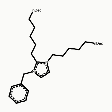 CCCCCCCCCCCCCCCc1n(Cc2ccccc2)cc[n+]1CCCCCCCCCCCCCCC